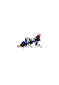 CCCN1/C(=C/C=C2\CCC(/C=C/C3=[N+](CCC)c4ccc5cc(Br)ccc5c4C3(C)C)=C2Cl)C(C)(C)c2c1ccc1cc(Br)ccc21